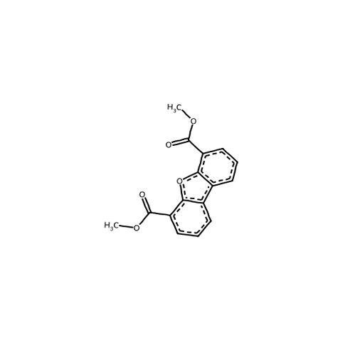 COC(=O)c1cccc2c1oc1c(C(=O)OC)cccc12